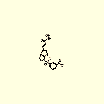 O=C(C=Cc1cnc2c(c1)CCN2S(=O)(=O)c1cccc([N+](=O)[O-])c1)NO